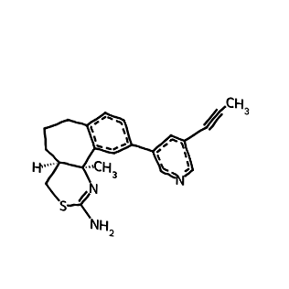 CC#Cc1cncc(-c2ccc3c(c2)[C@@]2(C)N=C(N)SC[C@H]2CCC3)c1